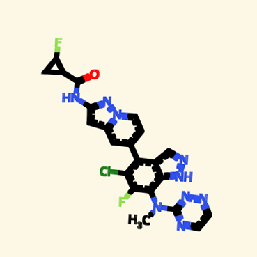 CN(c1nccnn1)c1c(F)c(Cl)c(-c2ccn3nc(NC(=O)C4CC4F)cc3c2)c2cn[nH]c12